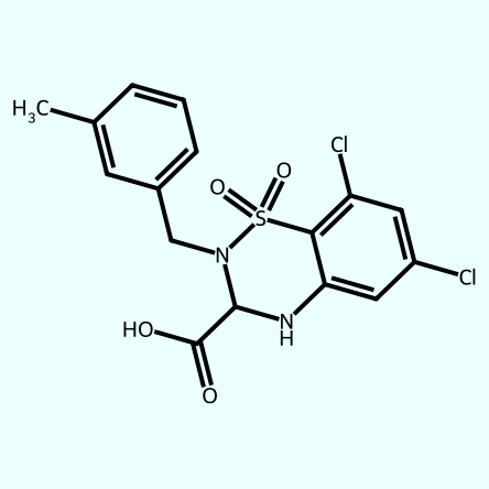 Cc1cccc(CN2C(C(=O)O)Nc3cc(Cl)cc(Cl)c3S2(=O)=O)c1